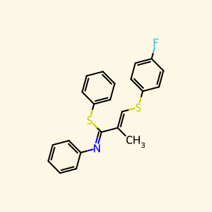 CC(=C\Sc1ccc(F)cc1)/C(=N/c1ccccc1)Sc1ccccc1